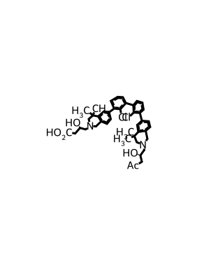 CC(=O)C[C@H](O)CN1Cc2ccc(-c3cccc(-c4cccc(-c5ccc6c(c5)C(C)(C)CN(C[C@@H](O)CC(=O)O)C6)c4Cl)c3Cl)cc2C(C)(C)C1